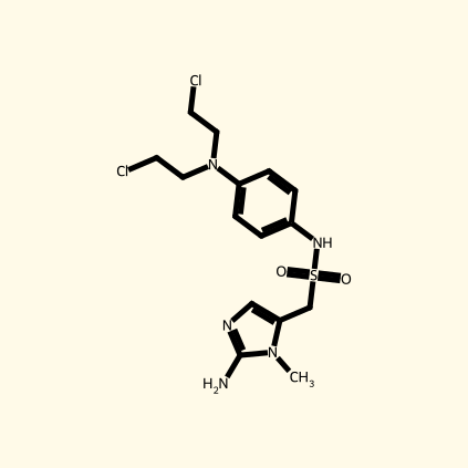 Cn1c(CS(=O)(=O)Nc2ccc(N(CCCl)CCCl)cc2)cnc1N